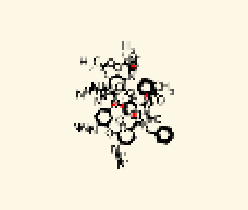 CC(=O)OC[C@H]1O[C@@H](O[C@@H]2[C@@H](OC(C)=O)[C@H](N=[N+]=[N-])C[C@H](N=[N+]=[N-])[C@H]2O[C@@H]2O[C@@H]([C@H](C)N(Cc3ccccc3)C(=O)OCc3ccccc3)CC[C@@H]2N=[N+]=[N-])[C@H](OC(C)=O)[C@@H]1O[C@H]1O[C@@H](CN=[N+]=[N-])[C@@H](OC(C)=O)[C@H](OC(C)=O)[C@H]1N=[N+]=[N-]